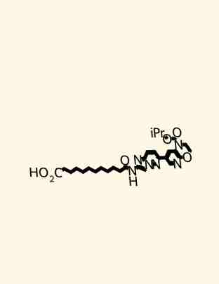 CC(C)OC(=O)N1CCOc2ncc(-c3ccc4nc(NC(=O)CCCCCCCCCCC(=O)O)cn4n3)cc21